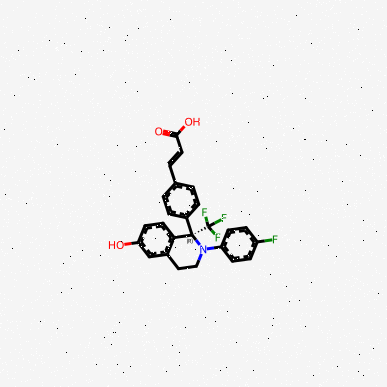 O=C(O)C=Cc1ccc([C@]2(C(F)(F)F)c3ccc(O)cc3CCN2c2ccc(F)cc2)cc1